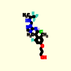 Cc1cc(OCCCO)cc(F)c1C(C)/C(Cl)=N\c1ncnn1CN[C@@H](C)C(F)(F)F